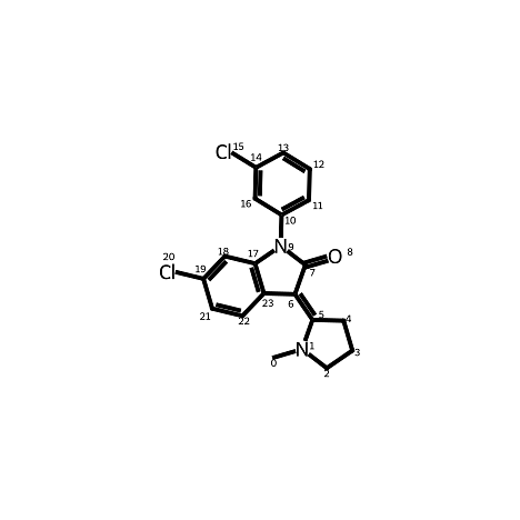 CN1CCCC1=C1C(=O)N(c2cccc(Cl)c2)c2cc(Cl)ccc21